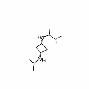 CNC(C)N[C@H]1C[C@@H](NC(C)C)C1